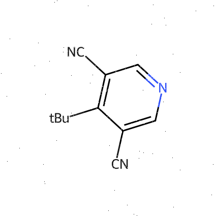 CC(C)(C)c1c(C#N)cncc1C#N